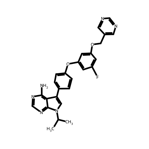 CC(C)n1cc(-c2ccc(Oc3cc(F)cc(OCc4cncnc4)c3)cc2)c2c(N)ncnc21